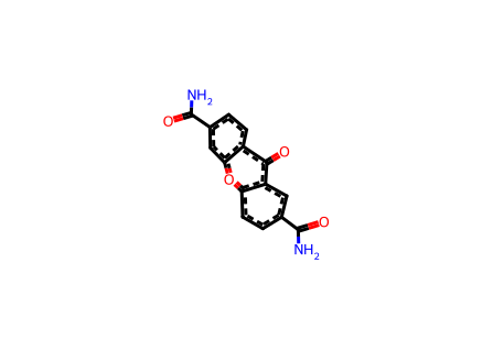 NC(=O)c1ccc2c(=O)c3cc(C(N)=O)ccc3oc2c1